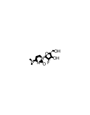 CN(C)c1ccn([C@@H]2O[C@H](CO)C(O)[C@@H]2F)c(=O)n1